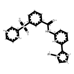 CC(C)n1cnnc1-c1cccc(NC(=O)c2cccc(S(=O)(=O)c3cnccn3)c2)n1